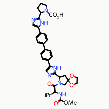 COC(=O)NC(C(=O)N1CC2(CC1c1ncc(-c3ccc(-c4ccc(-c5cnc(C6CCCN6C(=O)O)[nH]5)cc4)cc3)[nH]1)OCCO2)C(C)C